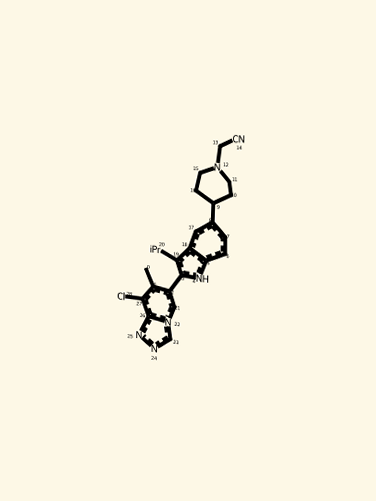 Cc1c(-c2[nH]c3ccc(C4CCN(CC#N)CC4)cc3c2C(C)C)cn2cnnc2c1Cl